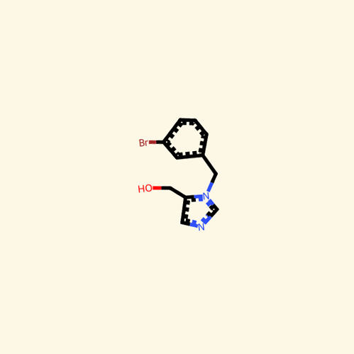 OCc1cncn1Cc1cccc(Br)c1